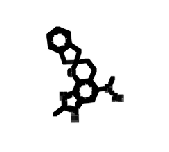 CC(=O)N(C)c1cc2[nH]c(C)nc2c2c1CCC1(Cc3ccccc3C1)O2